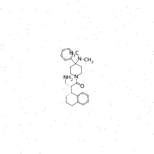 CN(C)C1(c2ccccc2)CCN(C(=O)[C@@H](CN)[C@H]2CCCc3ccccc32)CC1